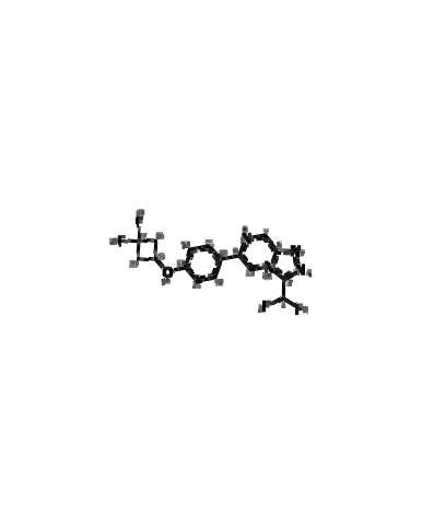 FC(F)c1nnc2cnc(-c3ccc(OC4CC(F)(F)C4)cc3)cn12